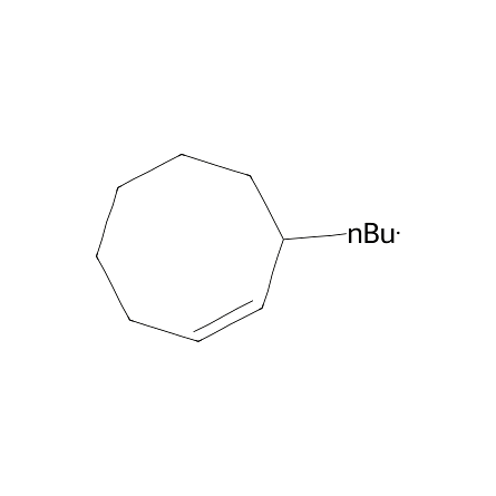 CCC[CH]C1/C=C\CCCCC1